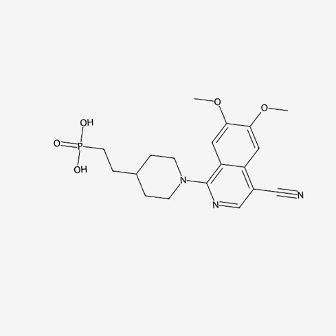 COc1cc2c(C#N)cnc(N3CCC(CCP(=O)(O)O)CC3)c2cc1OC